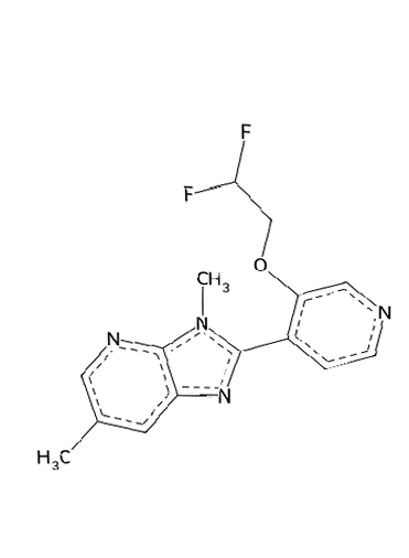 Cc1cnc2c(c1)nc(-c1ccncc1OCC(F)F)n2C